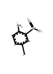 [CH2]c1ccc(N)c([N+](=O)[O-])c1